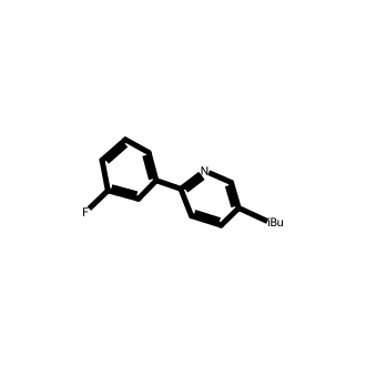 CCC(C)c1ccc(-c2cccc(F)c2)nc1